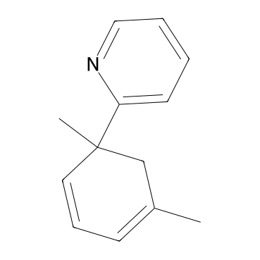 CC1=CC=CC(C)(c2ccccn2)C1